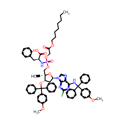 C#C[C@]1(COP(=O)(N[C@@H](Cc2ccccc2)C(=O)O)OCC(=O)OCCCCCCCC)O[C@@H](n2cnc3c(NC(c4ccccc4)(c4ccccc4)c4ccc(OC)cc4)nc(F)nc32)C[C@@H]1OC(c1ccccc1)(c1ccccc1)c1ccc(OC)cc1